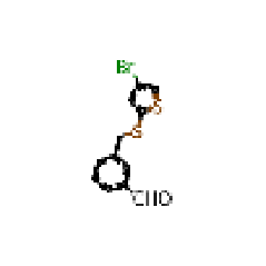 O=Cc1cccc(CSc2cc(Br)cs2)c1